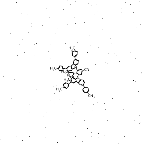 Cc1ccc(-c2ccc3c(c2)c2cc(-c4ccc(C)cc4)ccc2n3-c2cc(C#N)cc(-n3c4ccc(-c5ccc(C)cc5)cc4c4cc(-c5ccc(C)cc5)ccc43)c2-c2cc(C)nc(C)n2)cc1